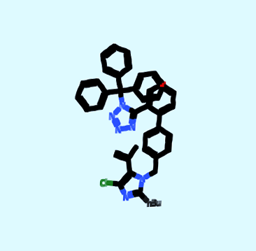 C=C(C)c1c(Cl)nc(CCCC)n1Cc1ccc(-c2ccccc2-c2nnnn2C(c2ccccc2)(c2ccccc2)c2ccccc2)cc1